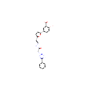 O=C(Cn1nnc(-c2ccccc2)n1)N/C=C/c1ccc(-c2ccc(O)c(C(=O)O)c2)o1